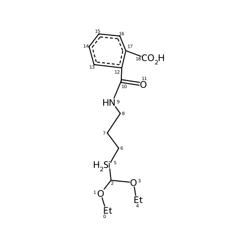 CCOC(OCC)[SiH2]CCCNC(=O)c1ccccc1C(=O)O